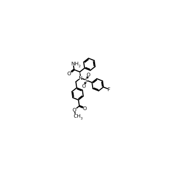 COC(=O)c1ccc(CN([C@@H](C(N)=O)c2ccccc2)S(=O)(=O)c2ccc(F)cc2)cc1